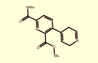 CNC(=O)c1ccc(C2=CCN=CC2)c(C(=O)OC(C)(C)C)n1